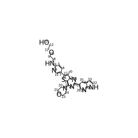 Cc1c(-c2ccc(NCCOCCO)nc2)sc2c(N3CCOCC3)nc(-c3cnc4[nH]ccc4c3)nc12